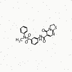 CN(c1ccccc1)S(=O)(=O)c1cccc(NC(=O)c2cnc3n(c2=O)CCS3)c1